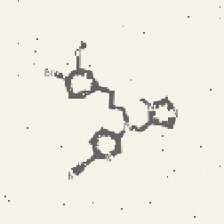 COc1cc(CCCN(Cc2cncn2C)c2ccc(C#N)nc2)ccc1Br